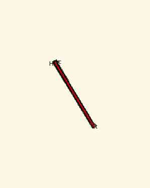 CCC(=O)OCCOCCOCCOCCOCCOCCOCCOCCOCCOCCOCCOCCOCCOCCOCCOCCOCCOCCOCCOCCOCCOCCOCCOCCOCCOCCOCCOCCOCCOCCOCCOCCOCCOCCOCCOCCOCCOCCOCCOCCOCCOCCOCCOCCOCCCNC(=O)OCC(C)=O